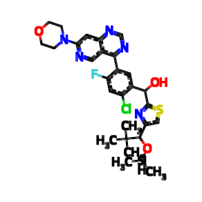 C[SiH](C)OC(c1csc(C(O)c2cc(-c3ncnc4cc(N5CCOCC5)ncc34)c(F)cc2Cl)n1)C(C)(C)C